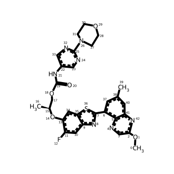 COc1cnc2c(-c3nc4cc(F)c(O[C@@H](C)COC(=O)Nc5cnc(N6CCOCC6)nc5)cc4s3)cc(C)cc2n1